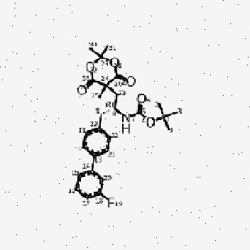 CC(C)(C)OC(=O)N[C@H](Cc1ccc(-c2cccc(F)c2)cc1)CC1(C)C(=O)OC(C)(C)OC1=O